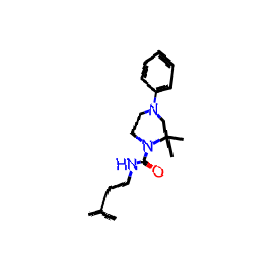 CC(C)CCNC(=O)N1CCN(c2ccccc2)CC1(C)C